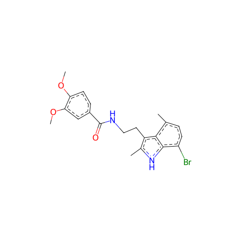 COc1ccc(C(=O)NCCc2c(C)[nH]c3c(Br)ccc(C)c23)cc1OC